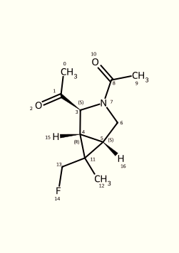 CC(=O)[C@@H]1[C@@H]2[C@H](CN1C(C)=O)C2(C)CF